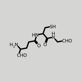 NC(C=O)CCC(=O)NC(CS)C(=O)NCC=O